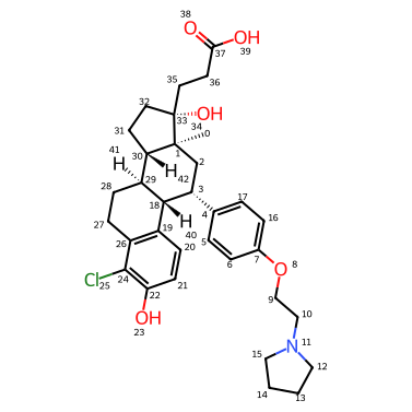 C[C@]12C[C@H](c3ccc(OCCN4CCCC4)cc3)[C@@H]3c4ccc(O)c(Cl)c4CC[C@H]3[C@@H]1CC[C@@]2(O)CCC(=O)O